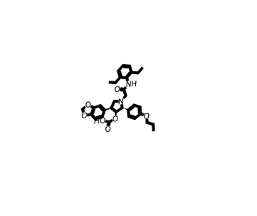 CCCOc1ccc([C@@H]2[C@@H](OC(=O)O)[C@@H](c3ccc4c(c3)OCO4)CN2CC(=O)Nc2c(CC)cccc2CC)cc1